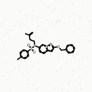 C=C(C)CCN(c1ccc2cc(OCc3ccccc3)nn2c1)S(=O)(=O)c1ccc(C)cc1